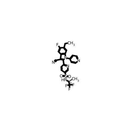 CCc1cc2c(cc1F)c(C#N)c(-c1ccc(S(=O)(=O)N[C@@H](C)C(F)(F)F)cn1)n2-c1ccncc1